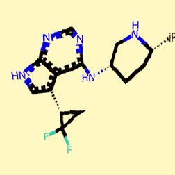 CC(C)[C@@H]1CC[C@H](Nc2ncnc3[nH]cc([C@@H]4CC4(F)F)c23)CN1